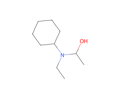 CCN(C(C)O)C1CCCCC1